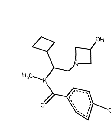 CN(C(=O)c1ccc(Cl)cc1)C(CN1CC(O)C1)C1CCC1